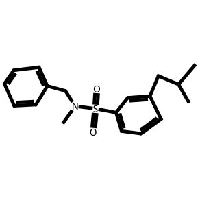 CC(C)Cc1cccc(S(=O)(=O)N(C)Cc2ccccc2)c1